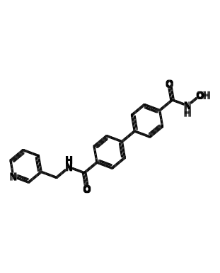 O=C(NO)c1ccc(-c2ccc(C(=O)NCc3cccnc3)cc2)cc1